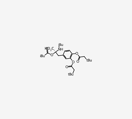 CCC(C)N[C@@](Cc1ccc(OC(=O)CC(C)(C)C)c(OC(=O)CC(C)(C)C)c1)(OC(=O)C(C)CC)C(=O)O